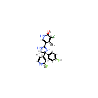 CCc1c(C2=N[C@](c3ccc(F)cc3)(c3ccnc(F)c3)[C@H](C)N2)c[nH]c(=O)c1Cl